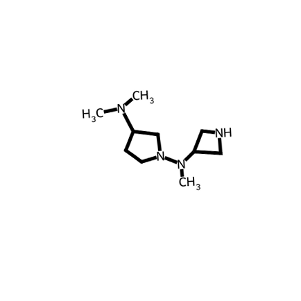 CN(C)C1CCN(N(C)C2CNC2)C1